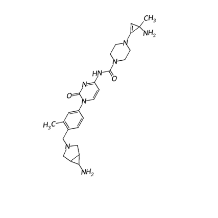 Cc1cc(-n2ccc(NC(=O)N3CCN(C4=CC4(C)N)CC3)nc2=O)ccc1CN1CC2C(N)C2C1